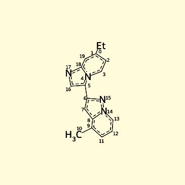 CCc1ccn2c(-c3cc4c(C)cccn4n3)cnc2c1